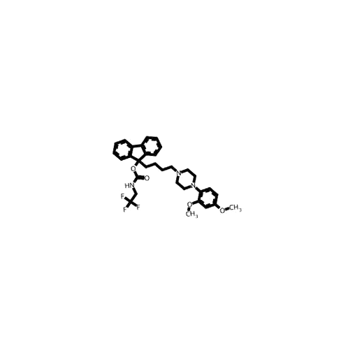 COc1ccc(N2CCN(CCCCC3(OC(=O)NCC(F)(F)F)c4ccccc4-c4ccccc43)CC2)c(OC)c1